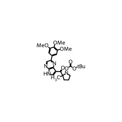 COc1cc(-c2cnc3[nH]cc(C(=O)C4(C)CCCN4OC(=O)OC(C)(C)C)c3n2)cc(OC)c1OC